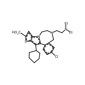 CCN(CC)CCN1CCn2c(c(C3CCCCC3)c3sc(C(=O)O)cc32)-c2ccc(Cl)cc2C1